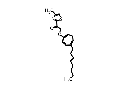 CCCCCCCCC1=CCC=C(OCC(=O)c2nc(C)cs2)C=C1